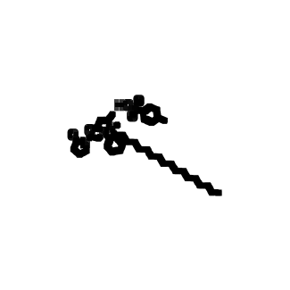 CCCCCCCCCCCCCCCCCC[N+]1(C)C(C)=CC(=O)[N+]1(CCN1CCCC1=O)c1ccccc1.Cc1ccc(S(=O)(=O)O)cc1